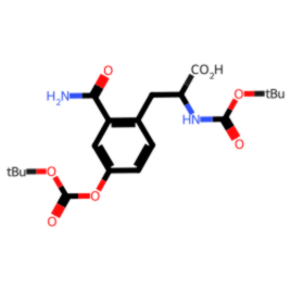 CC(C)(C)OC(=O)NC(Cc1ccc(OC(=O)OC(C)(C)C)cc1C(N)=O)C(=O)O